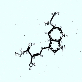 CC(C)Nc1cnc2[nH]cc(CC=C(C#N)C(N)=O)c2c1